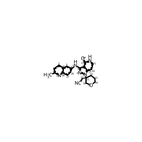 Cc1ccc2cc(Nc3nn([C@]4(CC#N)CCCOC4)c4cc[nH]c(=O)c34)ccc2n1